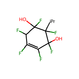 CC(C)C1(F)C(O)(F)C(F)=C(F)C(F)C1(O)F